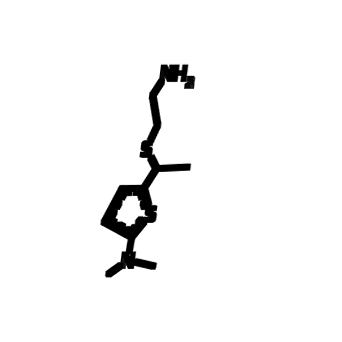 CC(SCCN)c1ccc(N(C)C)s1